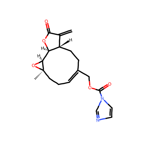 C=C1C(=O)O[C@H]2[C@H]1CC/C(COC(=O)n1ccnc1)=C\CC[C@@]1(C)O[C@@H]21